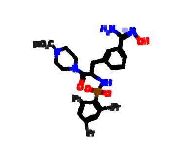 CCOC(=O)N1CCN(C(=O)C(Cc2cccc(/C(N)=N\O)c2)NS(=O)(=O)c2c(C(C)C)cc(C(C)C)cc2C(C)C)CC1